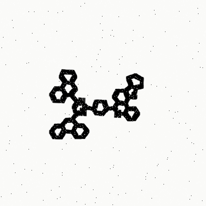 c1ccc2c(c1)cc(-c1cc(-c3cc4ccccc4c4ccccc34)nc(-c3ccc(-c4nc5ccccc5c5c4ccc4c6ccccc6sc45)cc3)n1)c1ccccc12